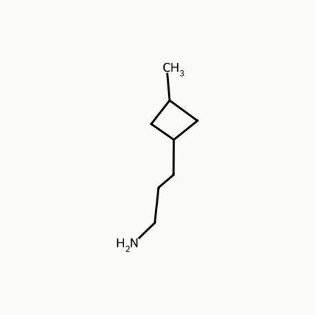 CC1CC(CCCN)C1